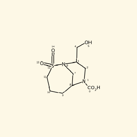 O=C(O)N1CC(CO)N2CC1CCCS2(=O)=O